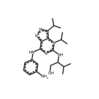 CC(C)c1nnc2c(Nc3cccc(N)c3)nc(NC(CO)C(C)C)n(C(C)C)c1-2